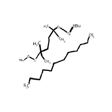 CC(C)(C)OOC(C)(C)CCC(C)(C)OOC(C)(C)C.CCCCCCCCCCCC